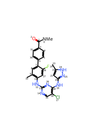 CNC(=O)c1ccc(-c2cc(C)c(Nc3ncc(Cl)c(Nc4cc(C)[nH]n4)n3)cc2F)cc1